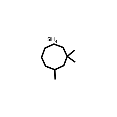 CC1CCCCCC(C)(C)C1.[SiH4]